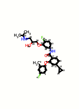 Cc1cc(F)ccc1Oc1cc(C2CC2)ccc1C(=O)Nc1ccc(F)c(OCC(O)CNC(C)C)c1